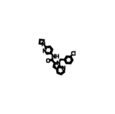 O=C(Nc1ccc(N2CCC2)nc1)c1cc2cccnc2n1Cc1cccc(Cl)c1